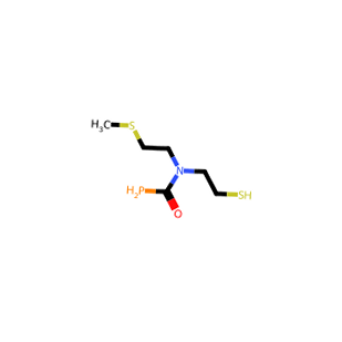 CSCCN(CCS)C(=O)P